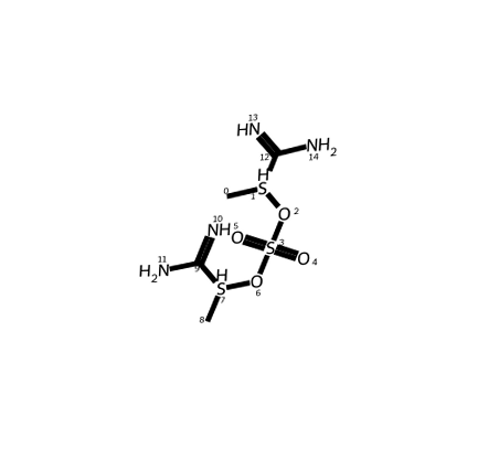 C[SH](OS(=O)(=O)O[SH](C)C(=N)N)C(=N)N